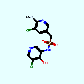 COc1ncc(CS(=O)(=O)Nc2cncc(Cl)c2O)cc1Cl